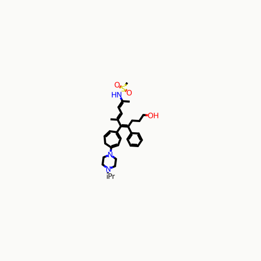 C\C(=C/C=C(C)/C(C1=CC=C(N2CCN(C(C)C)CC2)CC=C1)=C(\CCCO)c1ccccc1)NS(C)(=O)=O